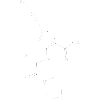 CCC[C@H](Nc1cc(C#CC(C)(C)C)sc1C(=O)OC)C(=O)N1CCOCC1